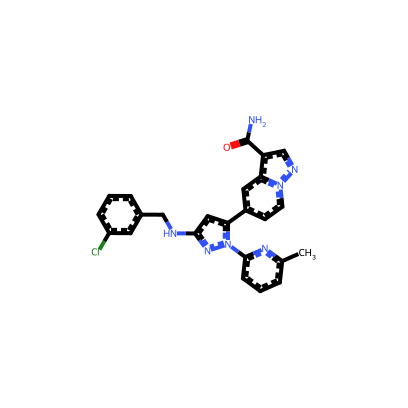 Cc1cccc(-n2nc(NCc3cccc(Cl)c3)cc2-c2ccn3ncc(C(N)=O)c3c2)n1